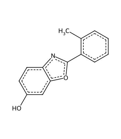 Cc1ccccc1-c1nc2ccc(O)cc2o1